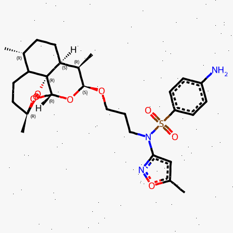 Cc1cc(N(CCCO[C@H]2O[C@@H]3O[C@@]4(C)CCC5[C@H](C)CC[C@@H]([C@H]2C)[C@]53OO4)S(=O)(=O)c2ccc(N)cc2)no1